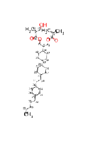 C=C(C)C(=O)OCC(COC(=O)C(=C)CO)C1CCC(C2CCC(CCc3ccc(CCCCC)cc3)CC2)CC1